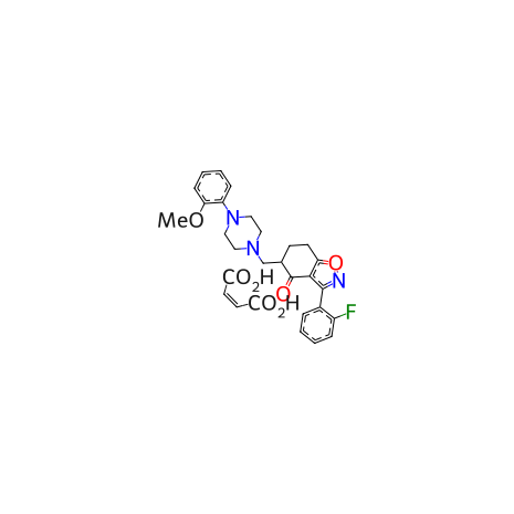 COc1ccccc1N1CCN(CC2CCc3onc(-c4ccccc4F)c3C2=O)CC1.O=C(O)/C=C\C(=O)O